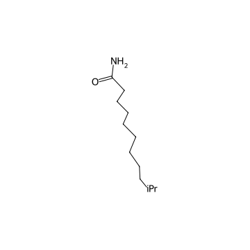 CC(C)CCCCCCCCC(N)=O